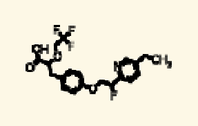 CCc1ccc(C(F)COc2ccc(CC(OCC(F)(F)F)C(=O)O)cc2)nc1